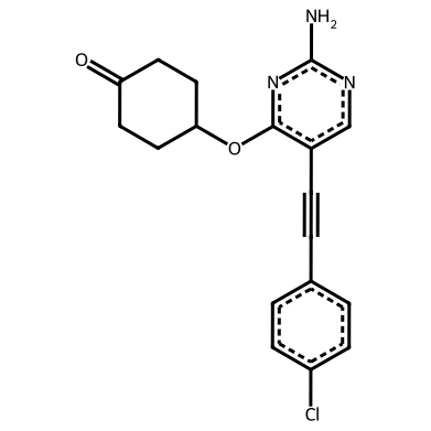 Nc1ncc(C#Cc2ccc(Cl)cc2)c(OC2CCC(=O)CC2)n1